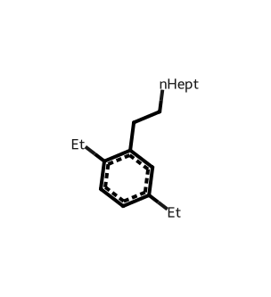 CCCCCCCCCc1cc(CC)ccc1CC